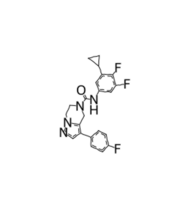 O=C(Nc1cc(F)c(F)c(C2CC2)c1)N1CCn2ncc(-c3ccc(F)cc3)c2C1